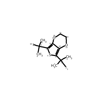 CC(C)(I)c1sc(C(C)(C)I)c2c1OCCO2